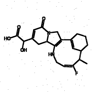 CC1/C(F)=C\CNC2=C(CN3C(=O)C=C(C(O)C(=O)O)CC23)C2=CC1CCC2